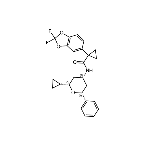 O=C(N[C@H]1C[C@@H](C2CC2)O[C@@H](c2ccccc2)C1)C1(c2ccc3c(c2)OC(F)(F)O3)CC1